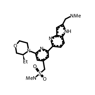 CC[C@H]1COCCN1c1cc(CS(=O)(=O)NC)cc(-c2ccc3[nH]c(CNC)cc3n2)n1